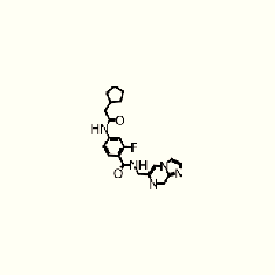 O=C(CC1CCCC1)Nc1ccc(C(=O)NCc2cn3ccnc3cn2)c(F)c1